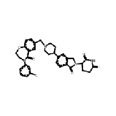 O=C1CCC(N2Cc3cc(C4CCN(Cc5ccc6c(c5)C(=O)N(c5cccc(Cl)c5)CCO6)CC4)ccc3C2=O)C(=O)N1